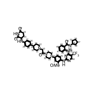 COc1cc(N2CCN(C(=O)CN3CCC(c4ccc(NC5CCC(=O)NC5=O)cc4)CC3)CC2)ccc1Nc1ncc(C(F)(F)F)c(Nc2ccccc2C(=O)NC2CCCC2)n1